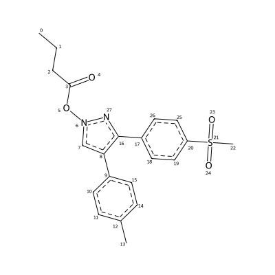 CCCC(=O)On1cc(-c2ccc(C)cc2)c(-c2ccc(S(C)(=O)=O)cc2)n1